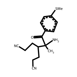 CSc1ccc(C(=O)C(C)(N)C(CCC#N)CCC#N)cc1